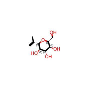 C=C(C)[C@@H]1O[C@H](CO)[C@@H](O)[C@H](O)[C@H]1O